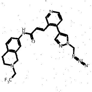 [N-]=[N+]=NCn1cc(-c2ccncc2/C=C/C(=O)Nc2ccc3c(c2)CN(CC(F)(F)F)CC3)cn1